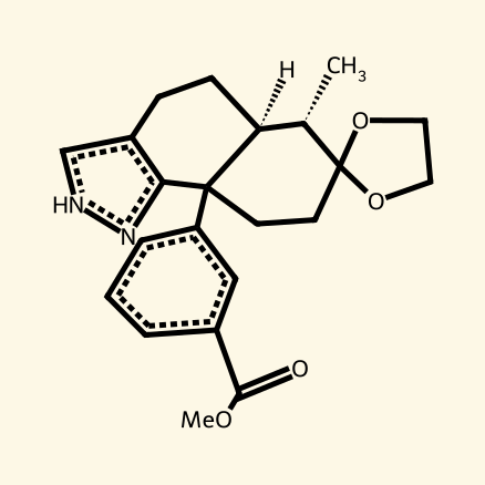 COC(=O)c1cccc(C23CCC4(OCCO4)[C@@H](C)[C@@H]2CCc2c[nH]nc23)c1